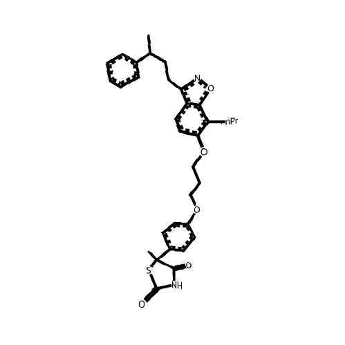 CCCc1c(OCCCOc2ccc(C3(C)SC(=O)NC3=O)cc2)ccc2c(CCC(C)c3ccccc3)noc12